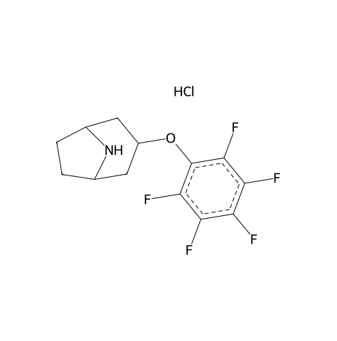 Cl.Fc1c(F)c(F)c(OC2CC3CCC(C2)N3)c(F)c1F